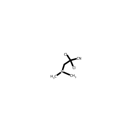 CN(C)CC(Cl)(Cl)C#N